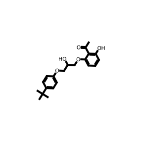 CC(=O)c1c(O)cccc1OCC(O)COc1ccc(C(C)(C)C)cc1